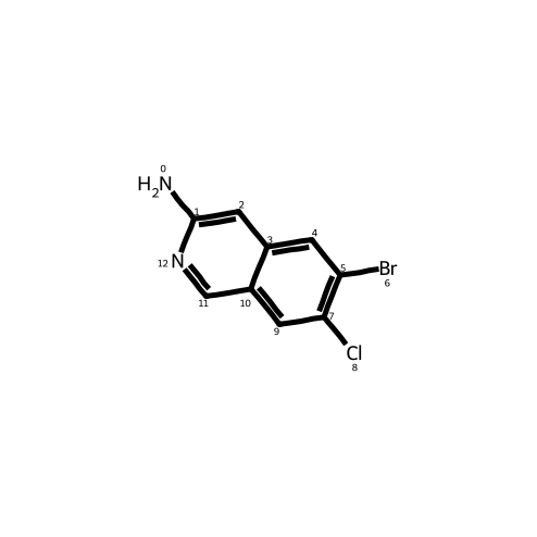 Nc1cc2cc(Br)c(Cl)cc2cn1